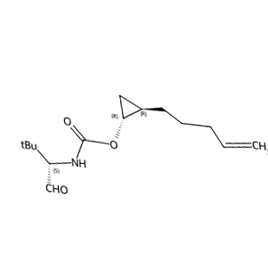 C=CCCC[C@@H]1C[C@H]1OC(=O)N[C@H](C=O)C(C)(C)C